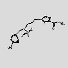 CC(C)(C)OC(=O)c1ccc(CCCN(Cc2ccc(C(C)(C)C)cc2)S(C)(=O)=O)s1